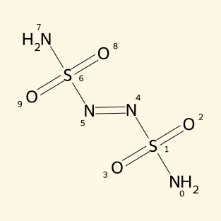 NS(=O)(=O)N=NS(N)(=O)=O